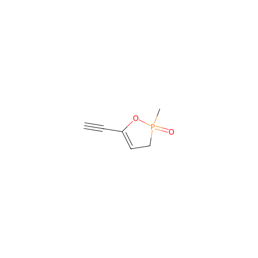 C#CC1=CCP(C)(=O)O1